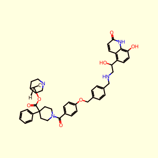 O=C(c1ccc(OCc2ccc(CNCC(O)c3ccc(O)c4[nH]c(=O)ccc34)cc2)cc1)N1CCC(C(=O)O[C@H]2CN3CCC2CC3)(c2ccccc2)CC1